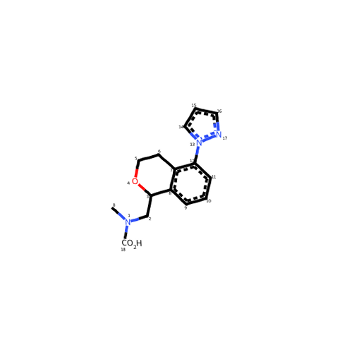 CN(CC1OCCc2c1cccc2-n1cccn1)C(=O)O